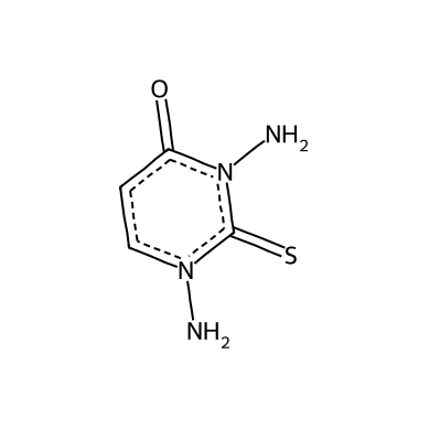 Nn1ccc(=O)n(N)c1=S